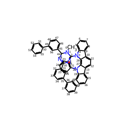 CN1C(n2c3ccccc3c3ccc4c5ccccc5n(-c5ccccc5)c4c32)=NC(c2cccc(-c3ccccc3)c2)=NC1c1cccc(-c2ccccc2)c1